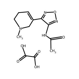 CC(=O)Nc1nonc1C1=CCCN(C)C1.O=C(O)C(=O)O